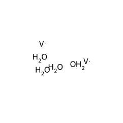 O.O.O.O.[V].[V]